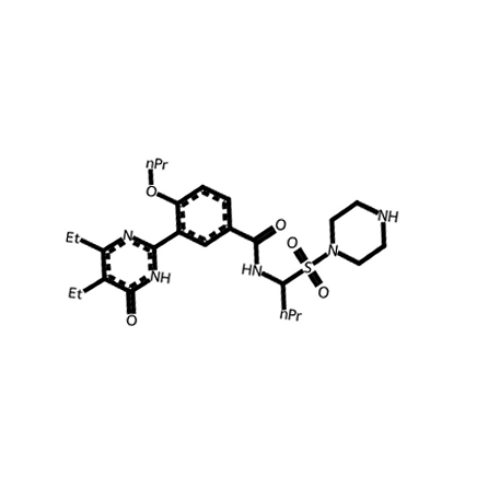 CCCOc1ccc(C(=O)NC(CCC)S(=O)(=O)N2CCNCC2)cc1-c1nc(CC)c(CC)c(=O)[nH]1